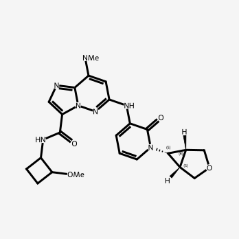 CNc1cc(Nc2cccn([C@@H]3[C@@H]4COC[C@@H]43)c2=O)nn2c(C(=O)NC3CCC3OC)cnc12